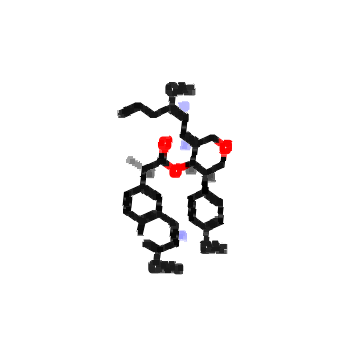 C=CC/C(=C\C=C1/COC[C@@H](c2ccc(OC(C)=O)cc2)[C@H]1OC(=O)[C@@H](C)c1ccc(C)c(/C=C\C(=C)OC)c1)OC(C)=O